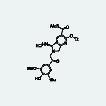 CCOc1nc2c(cc1C(=O)NC)C(=N)N(CC(=O)c1cc(OC)c(O)c(C(C)(C)C)c1)C2.Cl